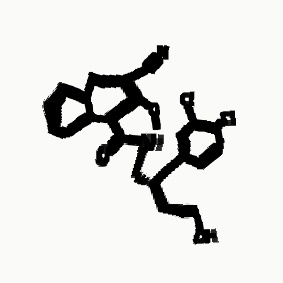 COc1c(C#N)cc2ccccc2c1C(=O)NC[C@@H](CCO)c1ccc(Cl)c(Cl)c1